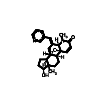 CN1C(=O)C=C[C@]2(C)[C@H]3CC[C@]4(C)[C@@H](O)CC[C@H]4[C@@H]3CC(=Cc3cccnc3)[C@@H]12